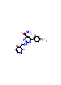 NC(=O)c1cc(-c2ccc(C(F)(F)F)cc2)nc(NCc2cccnc2)n1